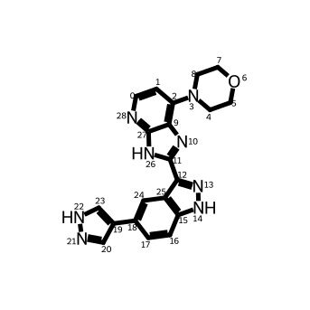 c1cc(N2CCOCC2)c2nc(-c3n[nH]c4ccc(-c5cn[nH]c5)cc34)[nH]c2n1